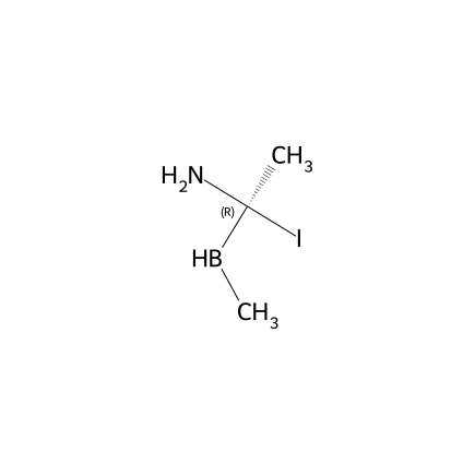 CB[C@@](C)(N)I